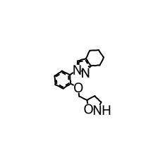 c1ccc(-n2cc3c(n2)CCCC3)c(OCC2CCNO2)c1